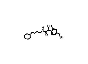 CC(C)Cc1ccc(C(C)C(=O)NCCCCN2CCCCC2)cc1